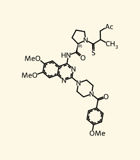 COc1ccc(C(=O)N2CCN(c3nc(NC(=O)[C@H]4CCCN4C(=S)C(C)CC(C)=O)c4cc(OC)c(OC)cc4n3)CC2)cc1